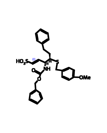 COc1ccc(CS[C@H](CCc2ccccc2)[C@@H](/C=C/S(=O)(=O)O)NC(=O)OCc2ccccc2)cc1